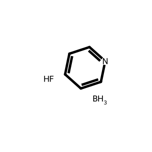 B.F.c1ccncc1